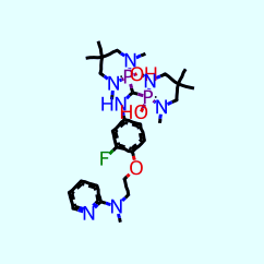 CN(CCOc1ccc(NC([P]2(O)N(C)CC(C)(C)CN2C)[P]2(O)N(C)CC(C)(C)CN2C)cc1F)c1ccccn1